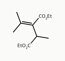 CCOC(=O)C(=C(C)C)C(C)C(=O)OCC